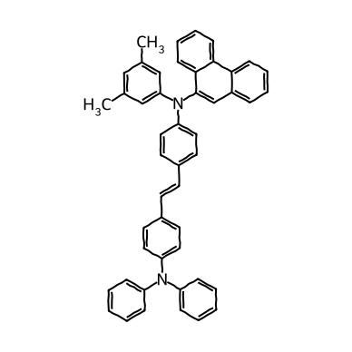 Cc1cc(C)cc(N(c2ccc(/C=C/c3ccc(N(c4ccccc4)c4ccccc4)cc3)cc2)c2cc3ccccc3c3ccccc23)c1